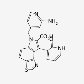 Nc1cc(Cn2c(C(=O)O)c(-c3ccc[nH]c3=O)c3c4ncsc4ccc32)ccn1